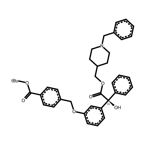 CC(C)(C)OC(=O)c1ccc(COc2cccc([C@](O)(C(=O)OCC3CCN(Cc4ccccc4)CC3)c3ccccc3)c2)cc1